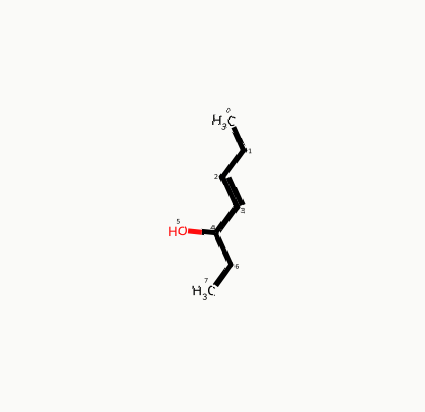 CCC=CC(O)CC